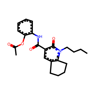 CCCCn1c2c(cc(C(=O)Nc3ccccc3OC(C)=O)c1=O)CCCC2